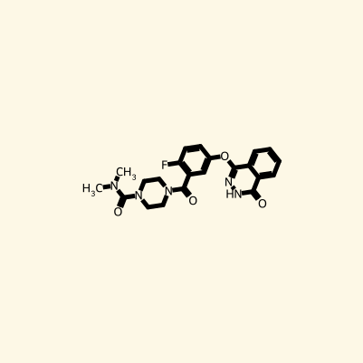 CN(C)C(=O)N1CCN(C(=O)c2cc(Oc3n[nH]c(=O)c4ccccc34)ccc2F)CC1